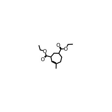 CCOC(=O)C1C=C(C)CCC(C(=O)OCC)C1